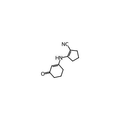 N#CC1=C(NC2=CC(=O)CCC2)CCC1